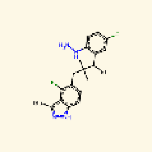 CCC(c1cc(F)ccc1NN)C(C)(C)Cc1ccc2[nH]nc(C(C)(C)C)c2c1F